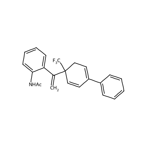 C=C(c1ccccc1NC(C)=O)C1(C(F)(F)F)C=CC(c2ccccc2)=CC1